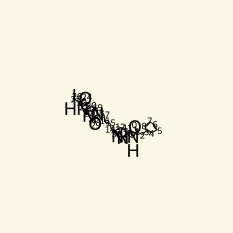 O=C(Cc1ccccc1)Nc1ccc(CCCCn2ccc(NC(=O)CI)nc2=O)nn1